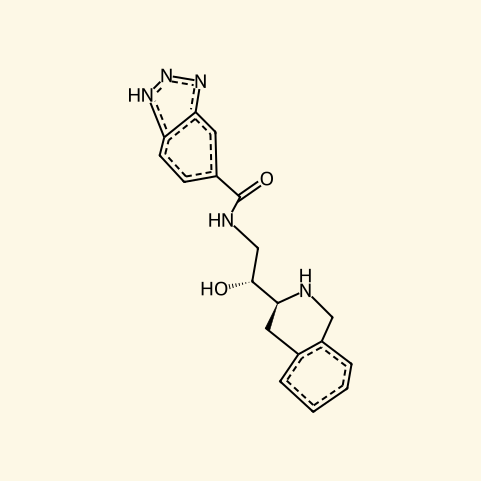 O=C(NC[C@@H](O)[C@@H]1Cc2ccccc2CN1)c1ccc2[nH]nnc2c1